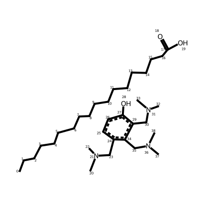 CCCCCCCCCCCCCCCCCC(=O)O.CN(C)Cc1ccc(O)c(CN(C)C)c1CN(C)C